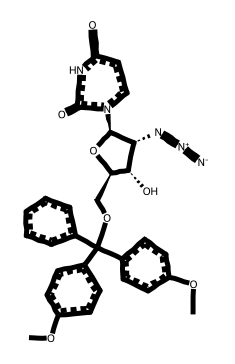 COc1ccc(C(OC[C@H]2O[C@@H](n3ccc(=O)[nH]c3=O)[C@H](N=[N+]=[N-])[C@@H]2O)(c2ccccc2)c2ccc(OC)cc2)cc1